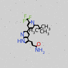 CC(C)(C)Cc1cc(-c2cnc3[nH]cc(C=CC(N)=O)c3c2)cc(C(F)(F)F)n1